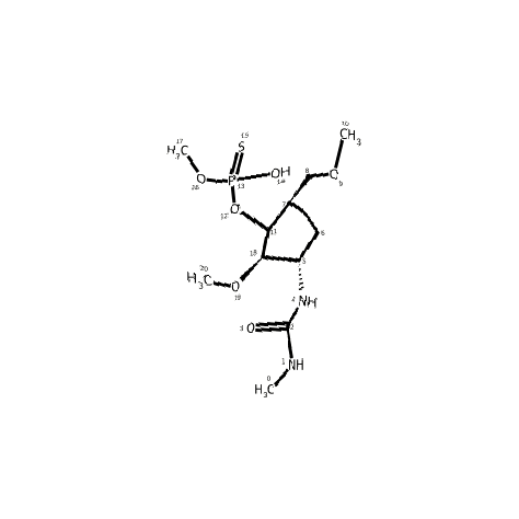 CNC(=O)N[C@H]1C[C@H](COC)C(OP(O)(=S)OC)[C@@H]1OC